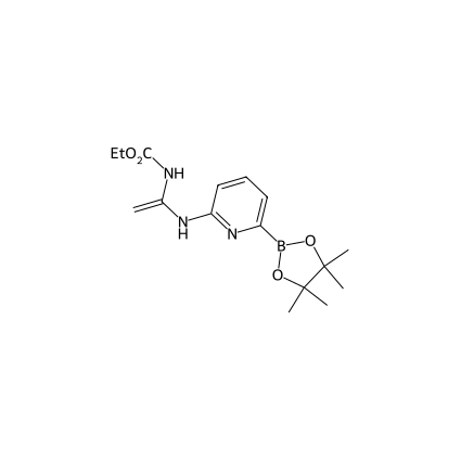 C=C(NC(=O)OCC)Nc1cccc(B2OC(C)(C)C(C)(C)O2)n1